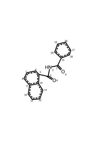 O=C(NC(=O)c1cccc2ccccc12)c1ccccc1